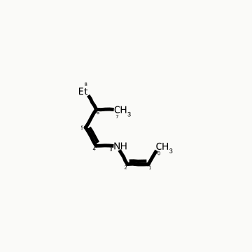 C/C=C\N/C=C\C(C)CC